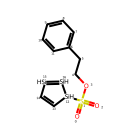 O=S(=O)(OCCc1ccccc1)[SiH]1C=C[SiH]=[SiH]1